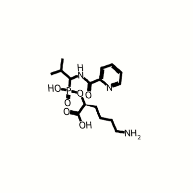 CC(C)C(NC(=O)c1ccccn1)P(=O)(O)O[C@@H](CCCCN)C(=O)O